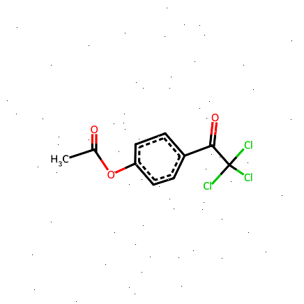 CC(=O)Oc1ccc(C(=O)C(Cl)(Cl)Cl)cc1